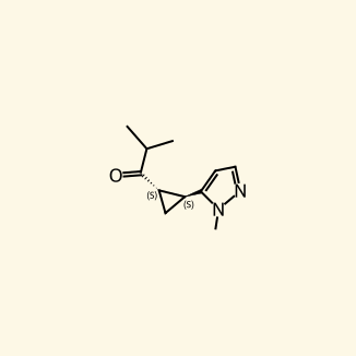 CC(C)C(=O)[C@H]1C[C@@H]1c1ccnn1C